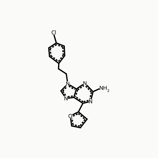 Nc1nc(-c2ccco2)c2ncn(CCc3ccc(Cl)cc3)c2n1